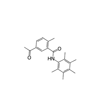 CC(=O)c1ccc(C)c(C(=O)Nc2c(C)c(C)c(C)c(C)c2C)c1